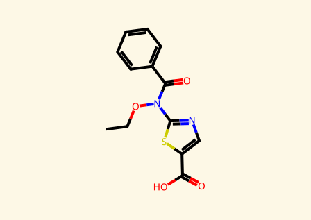 CCON(C(=O)c1ccccc1)c1ncc(C(=O)O)s1